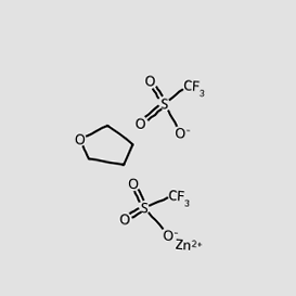 C1CCOC1.O=S(=O)([O-])C(F)(F)F.O=S(=O)([O-])C(F)(F)F.[Zn+2]